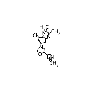 Cc1nc2cc(N3CCOC(c4cnn(C)c4)C3)cc(Cl)c2nc1C